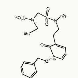 CCCN(CCC1=CC=C[C@H](OCc2ccccc2)C1=O)S(=O)(=O)CN(CC(C)CC)C(=O)O